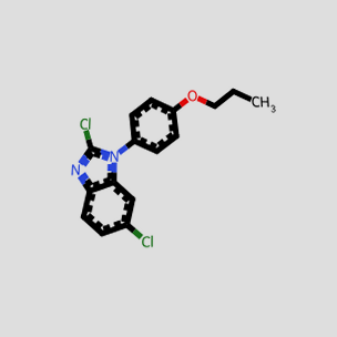 CCCOc1ccc(-n2c(Cl)nc3ccc(Cl)cc32)cc1